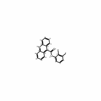 Cc1cccc(OC(=S)c2c3ccccc3nc3ccccc23)c1C